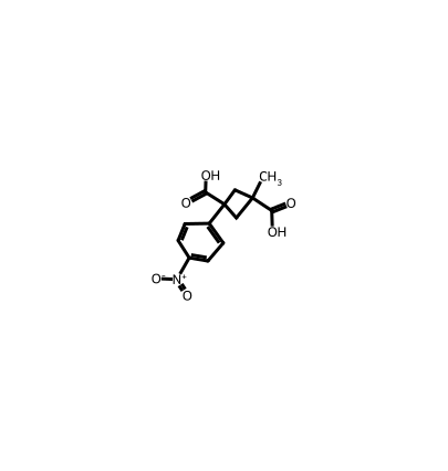 CC1(C(=O)O)CC(C(=O)O)(c2ccc([N+](=O)[O-])cc2)C1